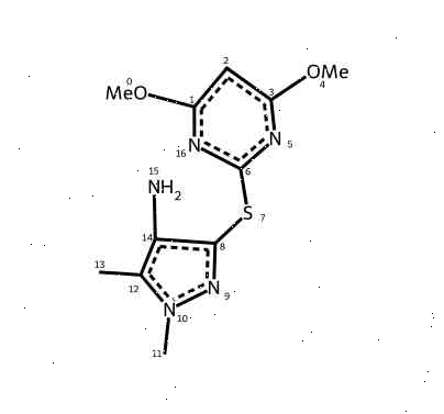 COc1cc(OC)nc(Sc2nn(C)c(C)c2N)n1